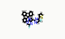 Fc1cnc2c(n1)c(-c1ncc(F)c(-c3cccs3)n1)cn2C(c1ccccc1)(c1ccccc1)c1ccccc1